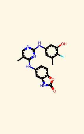 Cc1cnc(Nc2cc(C)c(F)c(O)c2)nc1Nc1ccc2oc(=O)[nH]c2c1